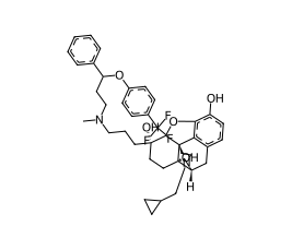 CN(CCC[C@]1(O)CC[C@@]2(O)[C@H]3Cc4ccc(O)c5c4[C@@]2(CCN3CC2CC2)C1O5)CCC(Oc1ccc(C(F)(F)F)cc1)c1ccccc1